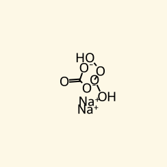 O=C([O-])[O-].OOOO.[Na+].[Na+]